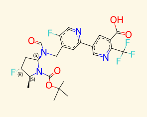 C[C@H]1[C@H](F)C[C@@H](N(C=O)Cc2cc(-c3cnc(C(F)(F)F)c(C(=O)O)c3)ncc2F)N1C(=O)OC(C)(C)C